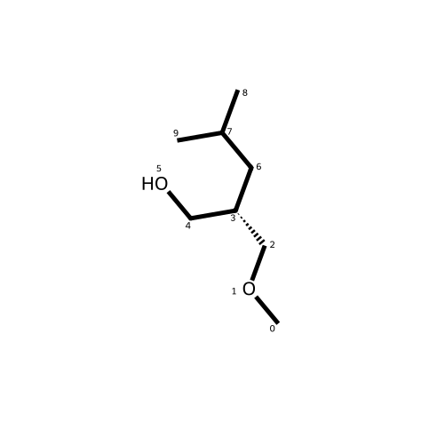 COC[C@H](CO)CC(C)C